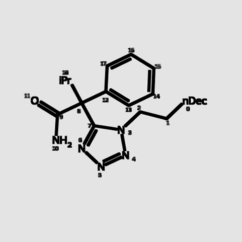 CCCCCCCCCCCCn1nnnc1C(C(N)=O)(c1ccccc1)C(C)C